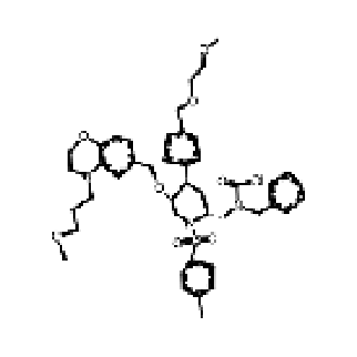 COCCCN1CCOc2ccc(CO[C@H]3CN(S(=O)(=O)c4ccc(C)cc4)[C@@H](CN(Cc4ccccc4)C(=O)O)C[C@@H]3c3ccc(COCCOC)cc3)cc21